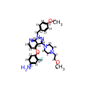 COCCN1CCN(c2nn(Cc3ccc(OC)cc3)c3nccc(Oc4ccc(N)cc4F)c23)CC1